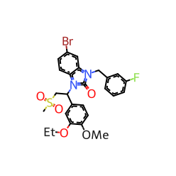 CCOc1cc(C(CS(C)(=O)=O)n2c(=O)n(Cc3cccc(F)c3)c3cc(Br)ccc32)ccc1OC